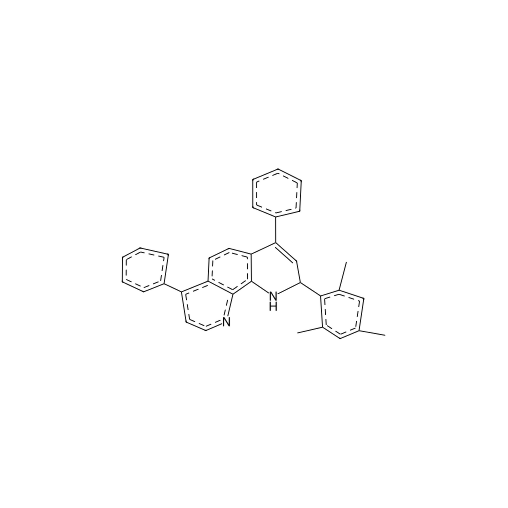 Cc1cc(C)c(C2C=C(c3ccccc3)c3ccc4c(-c5ccccc5)ccnc4c3N2)c(C)c1